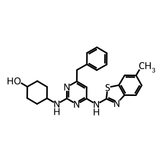 Cc1ccc2nc(Nc3cc(Cc4ccccc4)nc(NC4CCC(O)CC4)n3)sc2c1